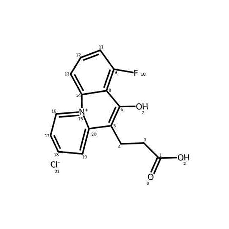 O=C(O)CCc1c(O)c2c(F)cccc2[n+]2ccccc12.[Cl-]